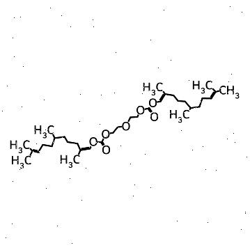 CC(C)=CCCC(C)CCCC(C)=COC(=O)OCCOCCOC(=O)OC=C(C)CCCC(C)CCC=C(C)C